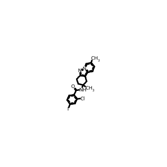 Cc1ccc2c3c(nn2c1)CCC(C)(NC(=O)c1ccc(I)cc1Cl)C3